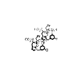 CC(C)CC(NC(Cn1ccn(Cc2cc(Cl)cc(Cl)c2)c1=O)C(=O)O)C(=O)O.CC(C)CC(NC(Cn1ccn(Cc2cc(F)cc(F)c2)c1=O)C(=O)O)C(=O)O